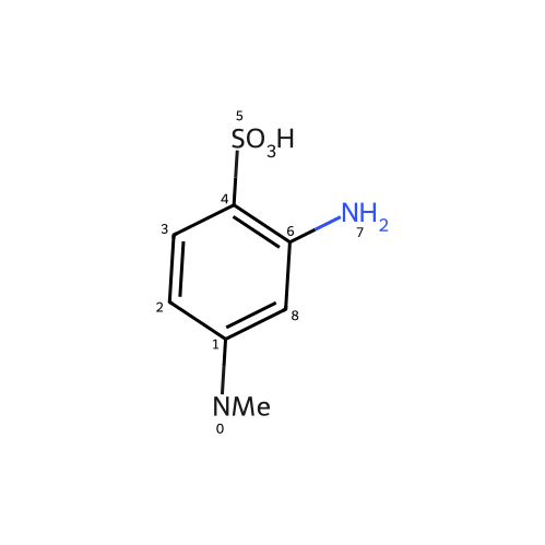 CNc1ccc(S(=O)(=O)O)c(N)c1